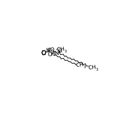 CCCCCCCCCCCCCCCCCC(=O)N[C@@H](CC)[C@H](O)[C@@H](CCCCCCCCCCCCCC)OC(=O)c1ccccc1